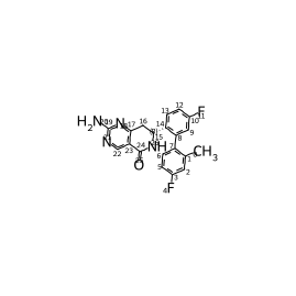 Cc1cc(F)ccc1-c1cc(F)ccc1[C@H]1Cc2nc(N)ncc2C(=O)N1